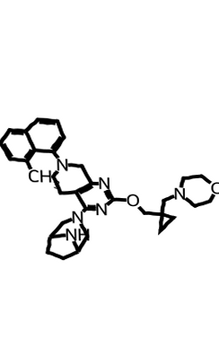 Cc1cccc2cccc(N3CCc4c(nc(OCC5(CN6CCOCC6)CC5)nc4N4CC5CCC(C4)N5)C3)c12